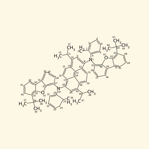 Cc1ccccc1N(c1cc(C(C)C)c2ccc3c(N(C4=CC=CCC4C)c4cccc5c4oc4c(C(C)(C)C)cccc45)cc(C(C)C)c4ccc1c2c43)c1cccc2c1oc1c(C(C)(C)C)cccc12